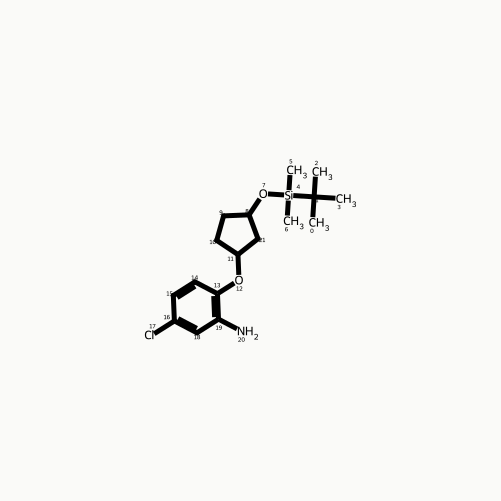 CC(C)(C)[Si](C)(C)OC1CCC(Oc2ccc(Cl)cc2N)C1